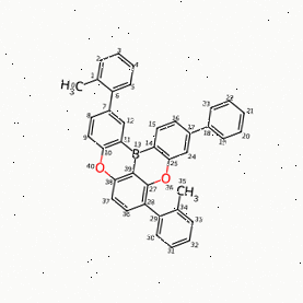 Cc1ccccc1-c1ccc2c(c1)B1c3ccc(-c4ccccc4)cc3Oc3c(-c4ccccc4C)ccc(c31)O2